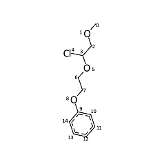 COCC(Cl)OCCOc1ccccc1